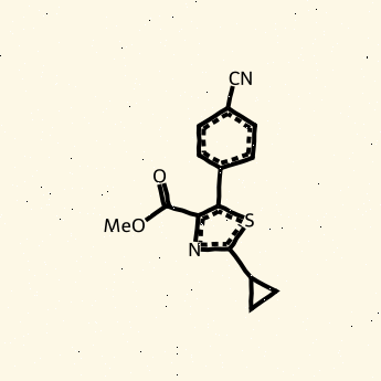 COC(=O)c1nc(C2CC2)sc1-c1ccc(C#N)cc1